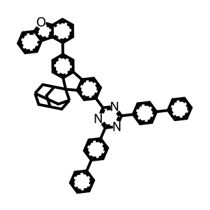 c1ccc(-c2ccc(-c3nc(-c4ccc(-c5ccccc5)cc4)nc(-c4ccc5c(c4)C4(c6ccc(-c7cccc8oc9ccccc9c78)cc6-5)C5CC6CC(C5)CC4C6)n3)cc2)cc1